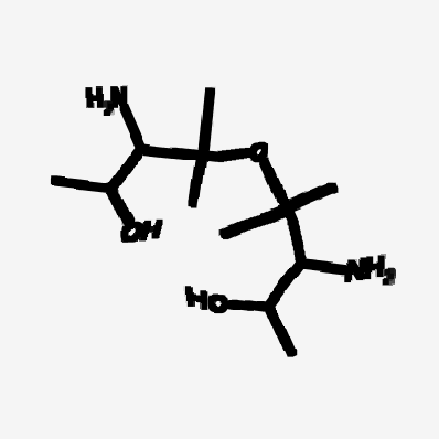 CC(O)C(N)C(C)(C)OC(C)(C)C(N)C(C)O